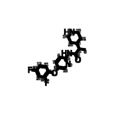 CC(C(=O)Nc1ccc(Oc2ccc(F)cc2F)cn1)C1CCNCC1